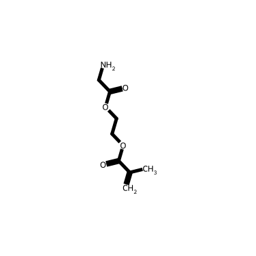 C=C(C)C(=O)OCCOC(=O)CN